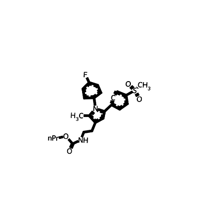 CCCOC(=O)NCCc1cc(-c2ccc(S(C)(=O)=O)cc2)n(-c2ccc(F)cc2)c1C